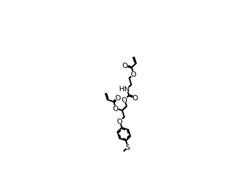 C=CC(=O)OCCNC(=O)OCC(COc1ccc(SC)cc1)OC(=O)C=C